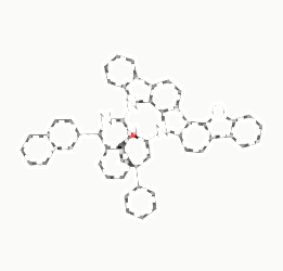 c1ccc(-c2cccc(-n3c4ccc5c6ccccc6oc5c4c4ccc5c6ccccc6n(-c6nc(-c7ccc8ccccc8c7)c7ccccc7n6)c5c43)c2)cc1